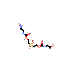 O=NCCNC(=O)OCCS(=O)(=O)CCOC(=O)NCCO